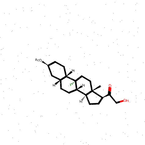 CC(=O)O[C@H]1CC[C@H]2[C@H](CC[C@H]3[C@@H]4CC[C@H](C(=O)CO)[C@@]4(C)CC[C@]23F)C1